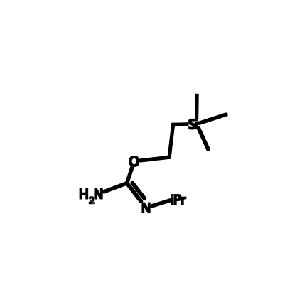 CC(C)/N=C(/N)OCC[Si](C)(C)C